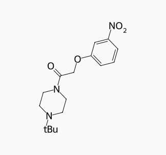 CC(C)(C)N1CCN(C(=O)COc2cccc([N+](=O)[O-])c2)CC1